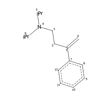 C=C(CCN(C(C)C)C(C)C)c1ccccc1